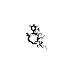 CC(=O)N[C@@H]1C/C=C/CCC(=O)OC(c2ccccc2)[C@@H](C)N(C)C1=O